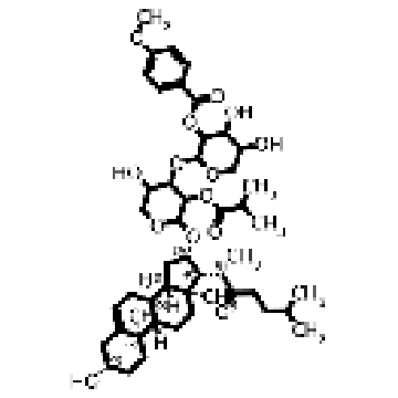 COc1ccc(C(=O)OC2C(OC3C(O)COC(O[C@H]4C[C@H]5[C@@H]6CC=C7C[C@@H](O)CC[C@]7(C)[C@H]6CC[C@]5(C)[C@H]4[C@H](C)C(=O)CCC(C)C)C3OC(=O)C(C)C)OCC(O)C2O)cc1